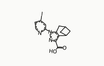 O=C(O)c1nn(-c2cc(I)ccn2)c2c1C1CC(C2)C1